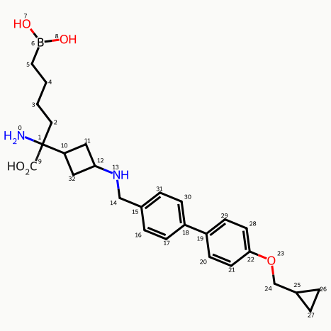 NC(CCCCB(O)O)(C(=O)O)C1CC(NCc2ccc(-c3ccc(OCC4CC4)cc3)cc2)C1